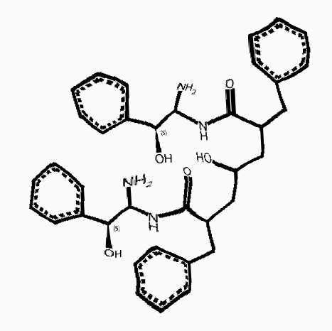 NC(NC(=O)C(Cc1ccccc1)CC(O)CC(Cc1ccccc1)C(=O)NC(N)[C@@H](O)c1ccccc1)[C@@H](O)c1ccccc1